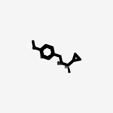 COc1ccc(CN[C@@H](C)C2CC2)cn1